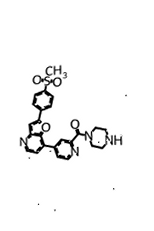 CS(=O)(=O)c1ccc(-c2cc3nccc(-c4ccnc(C(=O)N5CCNCC5)c4)c3o2)cc1